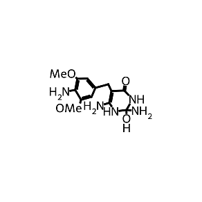 COc1cc(CC2=C(N)NC(N)(O)NC2=O)cc(OC)c1N